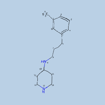 FC(F)(F)c1cccc(CCCNC2CCNCC2)c1